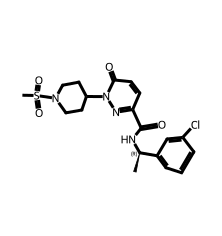 C[C@@H](NC(=O)c1ccc(=O)n(C2CCN(S(C)(=O)=O)CC2)n1)c1cccc(Cl)c1